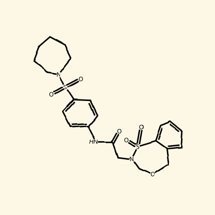 O=C(CN1COCc2ccccc2S1(=O)=O)Nc1ccc(S(=O)(=O)N2CCCCCC2)cc1